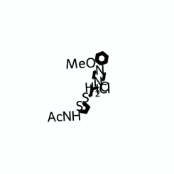 COc1ccccc1N1CCN(CCCSc2ccc(NC(C)=O)s2)CC1.Cl.O